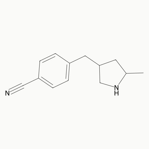 CC1CC(Cc2ccc(C#N)cc2)CN1